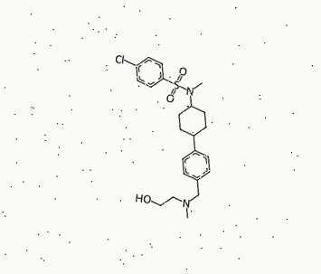 CN(CCO)Cc1ccc(C2CCC(N(C)S(=O)(=O)c3ccc(Cl)cc3)CC2)cc1